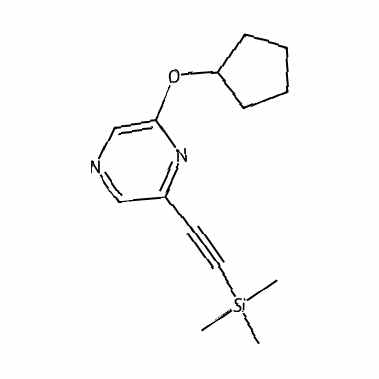 C[Si](C)(C)C#Cc1cncc(OC2CCCC2)n1